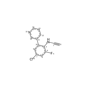 C#CNc1c(F)cc(Cl)cc1-c1cccnc1